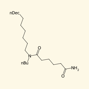 CCCCCCCCCCCCCCCCN(CCCC)C(=O)CCCCC(N)=O